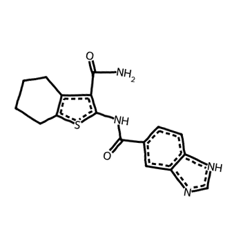 NC(=O)c1c(NC(=O)c2ccc3[nH]cnc3c2)sc2c1CCCC2